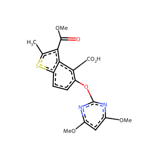 COC(=O)c1c(C)sc2ccc(Oc3nc(OC)cc(OC)n3)c(C(=O)O)c12